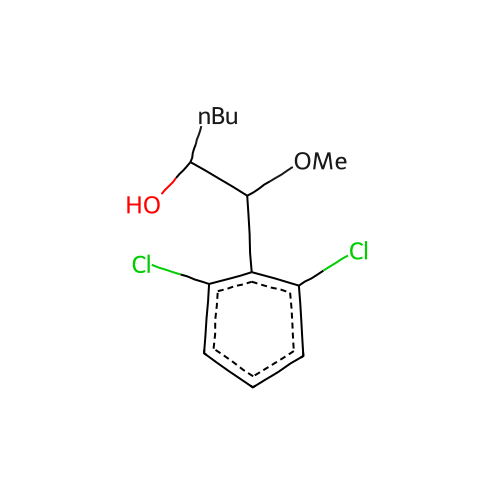 CCCCC(O)C(OC)c1c(Cl)cccc1Cl